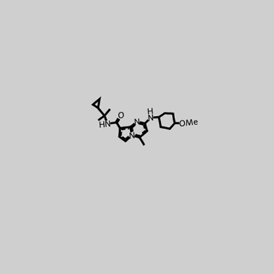 COC1CCC(Nc2cc(C)n3ccc(C(=O)NC(C)(C)C4CC4)c3n2)CC1